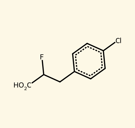 O=C(O)C(F)Cc1ccc(Cl)cc1